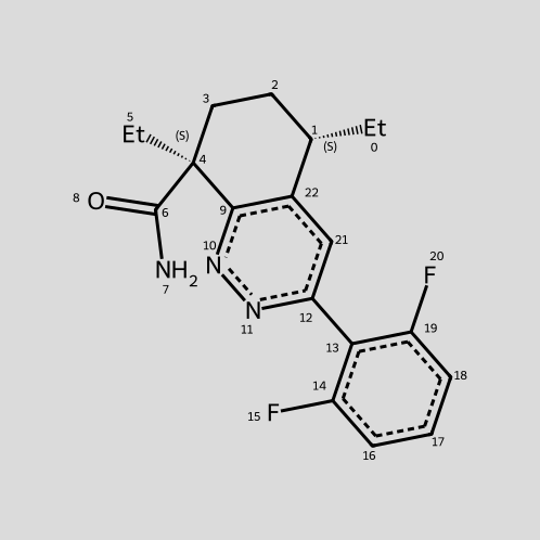 CC[C@H]1CC[C@](CC)(C(N)=O)c2nnc(-c3c(F)cccc3F)cc21